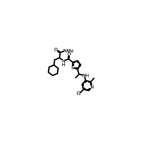 CNC(=O)C(CC1CCCCC1)NC(=O)c1ccc(C(C)Nc2cc(Cl)cnc2C)s1